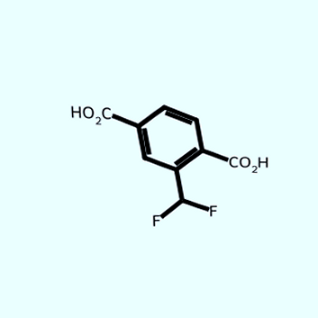 O=C(O)c1ccc(C(=O)O)c(C(F)F)c1